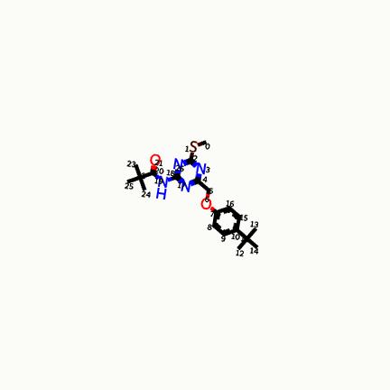 CSc1nc(COc2ccc(C(C)(C)C)cc2)nc(NC(=O)C(C)(C)C)n1